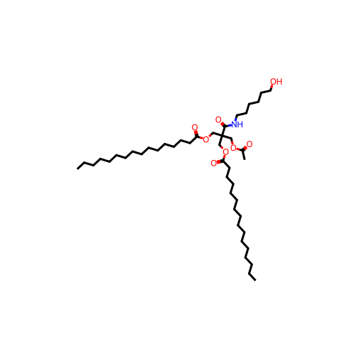 CCCCCCCCCCCCCCCC(=O)OCC(COC(C)=O)(COC(=O)CCCCCCCCCCCCCCC)C(=O)NCCCCCCO